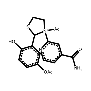 CC(=O)Oc1ccc(O)c(C2SCC[N+]2(C(C)=O)c2cc(C(N)=O)ccn2)c1